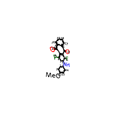 COc1ccc(Nc2cc(F)c3c(c2F)C(=O)c2ccccc2C3=O)cc1